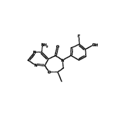 CC1CN(c2ccc(O)c(F)c2)C(=O)c2c(N)ncnc2O1